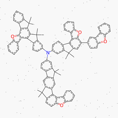 CC1(C)c2cc(N(c3ccc4c(c3)C(C)(C)c3cc(-c5ccc6oc7ccccc7c6c5)c5oc6ccccc6c5c3-4)c3ccc4c(c3)C(C)(C)c3c5c(c6oc7ccccc7c6c3-4)-c3ccccc3C5(C)C)ccc2-c2cc3c(cc21)-c1c(ccc2oc4ccccc4c12)C3(C)C